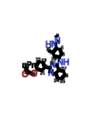 C=NNc1ccc(Nc2nc(-c3cccc(OC4OC4CCC)c3)nc3ccccc23)cc1C